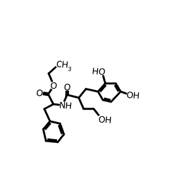 CCOC(=O)C(Cc1ccccc1)NC(=O)C(CCO)Cc1ccc(O)cc1O